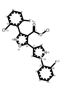 O=C(OCl)c1c(-c2c(F)cccc2Cl)noc1-c1cnn(-c2ccccc2F)c1